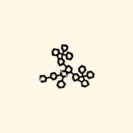 C1=CC2c3ccc(-c4ccc(-c5ccc6c(c5)C(c5ccccc5)(c5ccccc5)c5ccccc5-6)c5nc(-c6ccc(-c7ccncc7)cc6)c(-c6ccccc6)nc45)cc3C(c3ccccc3)(c3ccccc3)C2C=C1